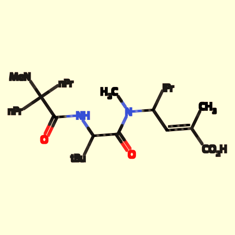 CCCC(CCC)(NC)C(=O)NC(C(=O)N(C)C(/C=C(\C)C(=O)O)C(C)C)C(C)(C)C